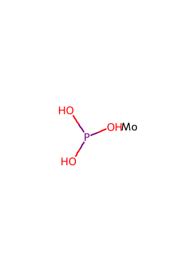 OP(O)O.[Mo]